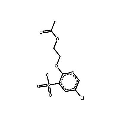 CC(=O)OCCOc1ncc(Cl)cc1S(=O)(=O)Cl